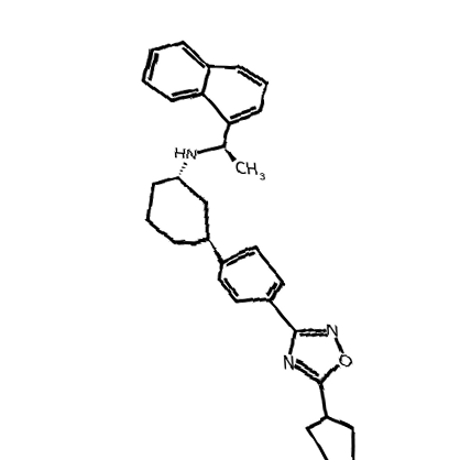 C[C@@H](N[C@H]1CCC[C@H](c2ccc(-c3noc(C4CCCC4)n3)cc2)C1)c1cccc2ccccc12